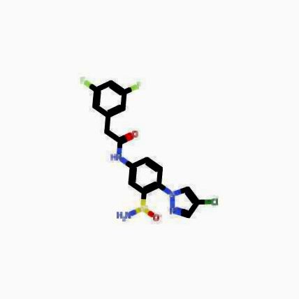 N[S+]([O-])c1cc(NC(=O)Cc2cc(F)cc(F)c2)ccc1-n1cc(Cl)cn1